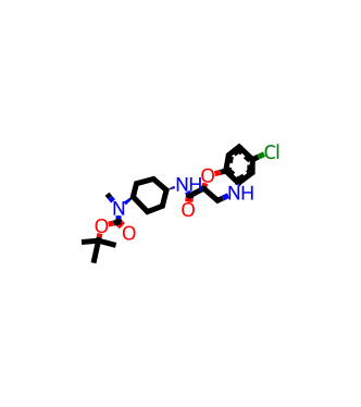 CN(C(=O)OC(C)(C)C)[C@H]1CC[C@H](NC(=O)C2CNc3cc(Cl)ccc3O2)CC1